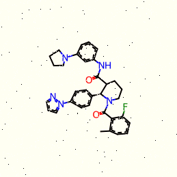 Cc1cccc(F)c1C(=O)N1CCCC(C(=O)Nc2cccc(N3CCCC3)c2)[C@@H]1c1ccc(-n2cccn2)cc1